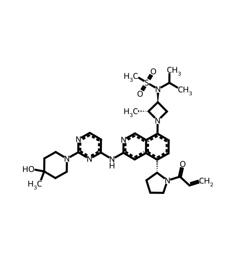 C=CC(=O)N1CCC[C@@H]1c1ccc(N2C[C@H](N(C(C)C)S(C)(=O)=O)[C@H]2C)c2cnc(Nc3ccnc(N4CCC(C)(O)CC4)n3)cc12